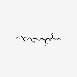 CCCCCCCCCC(=O)OCC(O)COCC(O)COCC(O)CO